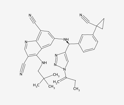 C=C(CC)n1cc([C@@H](Nc2cc(C#N)c3ncc(C#N)c(NCC(C)(C)C)c3c2)c2cccc(C3(C#N)CC3)c2)nn1